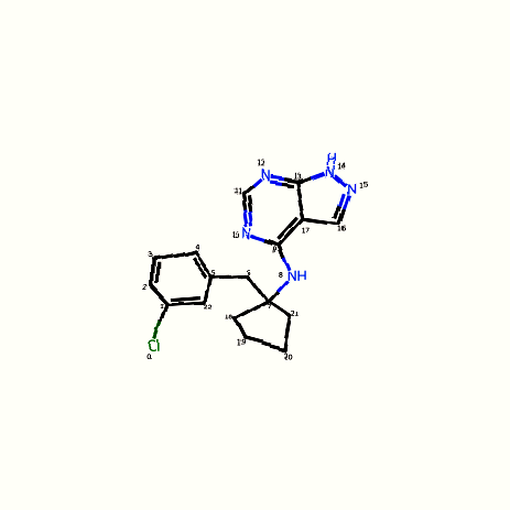 Clc1cccc(CC2(Nc3ncnc4[nH]ncc34)CCCC2)c1